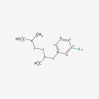 CC(CCC(C)C(=O)O)Cc1cccc(F)c1